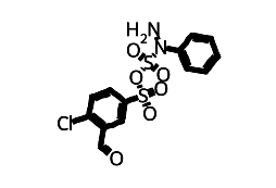 NN(c1ccccc1)S(=O)(=O)OS(=O)(=O)c1ccc(Cl)c(C=O)c1